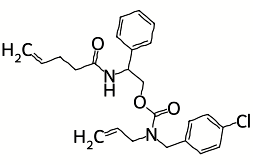 C=CCCC(=O)NC(COC(=O)N(CC=C)Cc1ccc(Cl)cc1)c1ccccc1